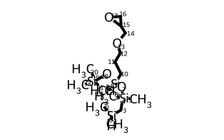 C[SiH](C)C[Si](C)(C)O[Si](C)(CCCOCC1CO1)O[Si](C)(C)C